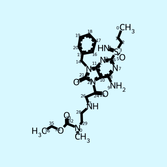 CCCS(=N)(=O)c1nc(N)c2c(n1)n(Cc1ccccc1)c(=O)n2C(=O)CNCCN(C)C(=O)OCC